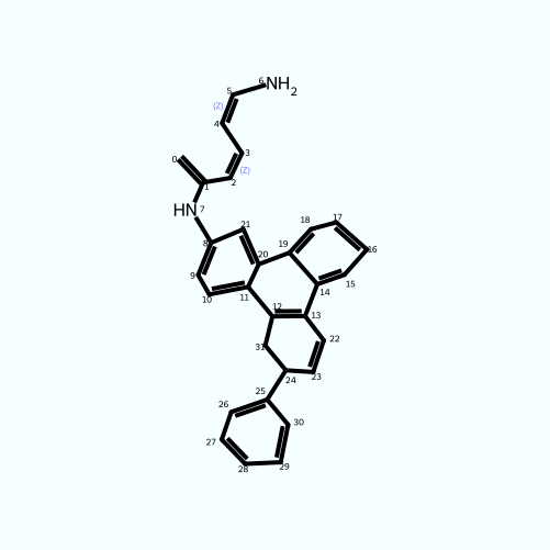 C=C(/C=C\C=C/N)Nc1ccc2c3c(c4ccccc4c2c1)C=CC(c1ccccc1)C3